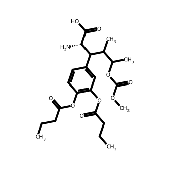 CCCC(=O)Oc1ccc(C(C(C)C(C)OC(=O)OC)[C@H](N)C(=O)O)cc1OC(=O)CCC